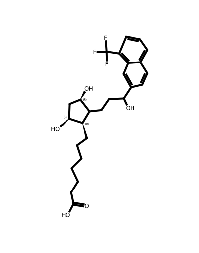 O=C(O)CCCCCC[C@@H]1C(CCC(O)c2ccc3cccc(C(F)(F)F)c3c2)[C@H](O)C[C@@H]1O